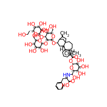 C=C1CC23CCC[C@H]4[C@@](C)(CCC[C@@]4(C)C(=O)OC4O[C@H](C(O)N[C@H](Cc5ccccc5)C(=O)O)[C@@H](O)[C@H](O)[C@H]4O)[C@@H]2CC(O[C@@H]2O[C@H](CO)[C@@H](O)C(O[C@@H]4O[C@H](CCO)[C@@H](O)[C@H](O)[C@H]4O)[C@H]2O[C@@H]2O[C@H](CO)[C@@H](O)[C@H](O)[C@H]2O)C1C3